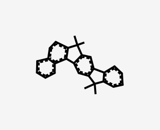 CC1(C)c2ccccc2-c2cc3c(cc21)-c1c(ccc2ccccc12)C3(C)C